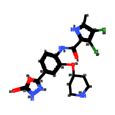 Cc1[nH]c(C(=O)Nc2ccc(-c3n[nH]c(=O)o3)cc2OC2CCNCC2)c(Cl)c1Cl